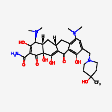 CN(C)c1cc(CN2CCC(O)(C(F)(F)F)CC2)c(O)c2c1C[C@H]1C[C@H]3[C@H](N(C)C)C(O)=C(C(N)=O)C(=O)[C@@]3(O)C(O)=C1C2=O